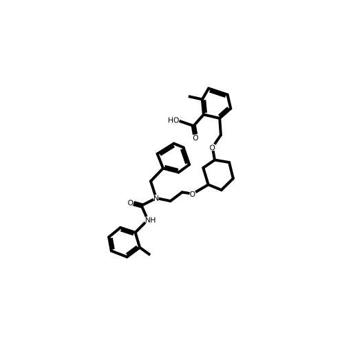 Cc1ccccc1NC(=O)N(CCOC1CCCC(OCc2cccc(C)c2C(=O)O)C1)Cc1ccccc1